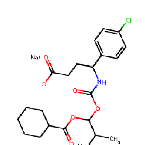 CC(C)C(OC(=O)NC(CCC(=O)[O-])c1ccc(Cl)cc1)OC(=O)C1CCCCC1.[Na+]